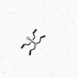 C=CCN(CC=C)[Si]([O])(CC=C)CC=C